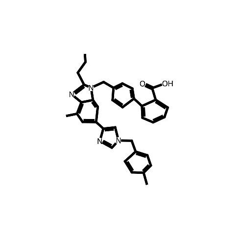 CCCc1nc2c(C)cc(-c3cn(Cc4ccc(C)cc4)cn3)cc2n1Cc1ccc(-c2ccccc2C(=O)O)cc1